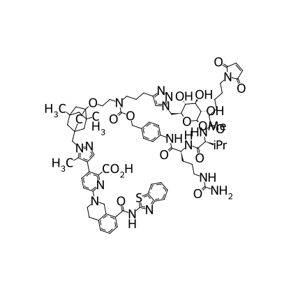 CO[C@H]1O[C@@H](Cn2cc(CCCN(CCOC34CC5(C)CC(Cn6ncc(-c7ccc(N8CCc9cccc(C(=O)Nc%10nc%11ccccc%11s%10)c9C8)nc7C(=O)O)c6C)(CC3(C)C5)C4)C(=O)OCc3ccc(NC(=O)[C@H](CCCNC(N)=O)NC(=O)[C@@H](NC(=O)CCCCCN4C(=O)C=CC4=O)C(C)C)cc3)nn2)[C@H](O)[C@@H](O)[C@@H]1O